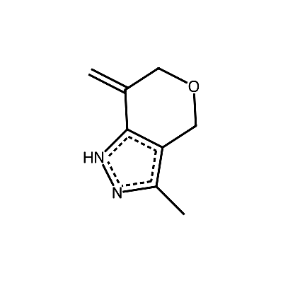 C=C1COCc2c(C)n[nH]c21